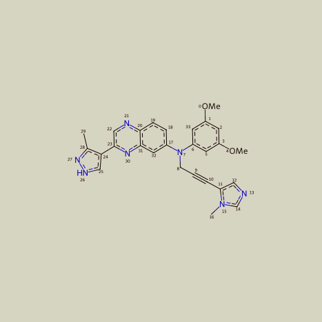 COc1cc(OC)cc(N(CC#Cc2cncn2C)c2ccc3ncc(-c4c[nH]nc4C)nc3c2)c1